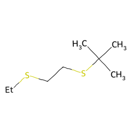 CCSCCSC(C)(C)C